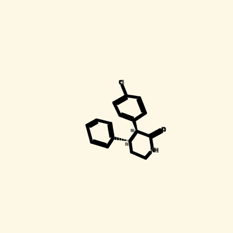 O=C1NCC[C@H](c2ccccc2)[C@H]1c1ccc(Cl)cc1